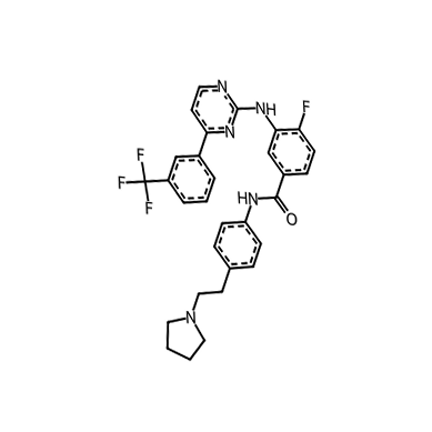 O=C(Nc1ccc(CCN2CCCC2)cc1)c1ccc(F)c(Nc2nccc(-c3cccc(C(F)(F)F)c3)n2)c1